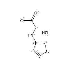 Cl.O=C(Cl)CNN1C=CCC1